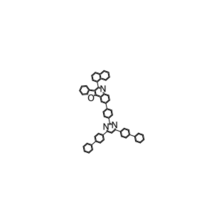 c1ccc(-c2ccc(-c3cc(-c4ccc(-c5ccccc5)cc4)nc(-c4ccc(-c5ccc6nc(-c7cccc8ccccc78)c7c8ccccc8oc7c6c5)cc4)n3)cc2)cc1